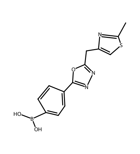 Cc1nc(Cc2nnc(-c3ccc(B(O)O)cc3)o2)cs1